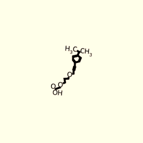 CC(C)c1ccc(C#CCOCCCOCC(=O)O)cc1